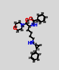 O=C(NC(CCCCN[C@@H]1C[C@H]1c1ccccc1)C(=O)N1CCOCC1)c1ccccc1